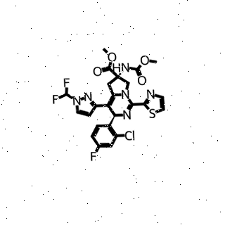 COC(=O)N[C@@]1(C(=O)OC)CC2=C(c3ccn(C(F)F)n3)[C@H](c3ccc(F)cc3Cl)N=C(c3nccs3)N2C1